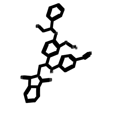 COc1cc(C(CN2C(=O)c3ccccc3C2=O)Nc2ccc(C#N)cc2)ccc1OC(CCl)c1ccccc1